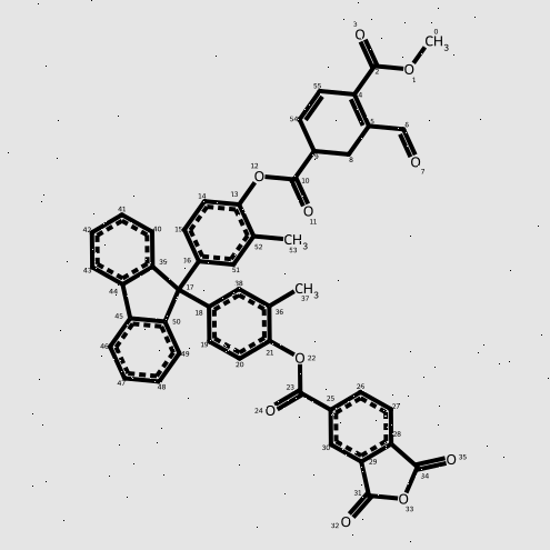 COC(=O)C1=C(C=O)CC(C(=O)Oc2ccc(C3(c4ccc(OC(=O)c5ccc6c(c5)C(=O)OC6=O)c(C)c4)c4ccccc4-c4ccccc43)cc2C)C=C1